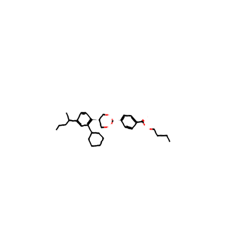 CCCCOC(=O)c1ccc([C@H]2OC[C@H](c3ccc(C(C)CCC)cc3C3CCCCC3)CO2)cc1